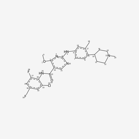 COc1nc(Nc2ccc(C3CCN(C)CC3)c(C)c2)ncc1C(=O)Nc1c(F)cc(F)cc1Cl